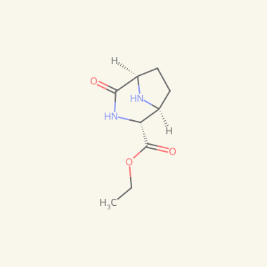 CCOC(=O)[C@@H]1NC(=O)[C@H]2CC[C@@H]1N2